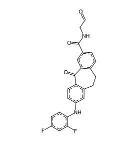 O=CCNC(=O)c1ccc2c(c1)C(=O)c1ccc(Nc3ccc(F)cc3F)cc1CC2